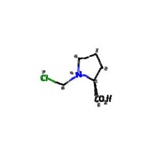 O=C(O)[C@@H]1CCCN1CCl